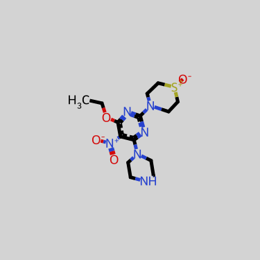 CCOc1nc(N2CC[S+]([O-])CC2)nc(N2CCNCC2)c1[N+](=O)[O-]